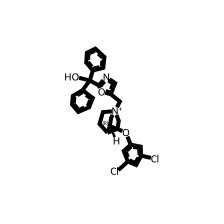 OC(c1ccccc1)(c1ccccc1)c1ncc(C[N+]23CCC(CC2)[C@@H](Oc2cc(Cl)cc(Cl)c2)C3)o1